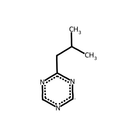 CC(C)Cc1n[c]ncn1